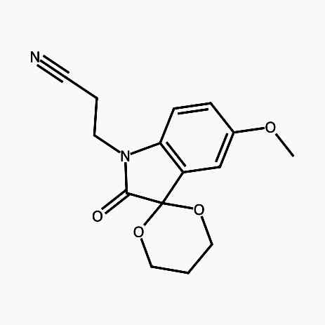 COc1ccc2c(c1)C1(OCCCO1)C(=O)N2CCC#N